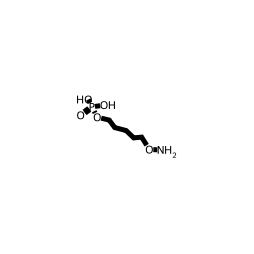 NOCCCCCOP(=O)(O)O